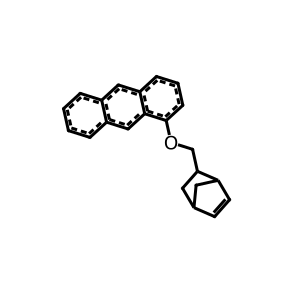 C1=CC2CC1CC2COc1cccc2cc3ccccc3cc12